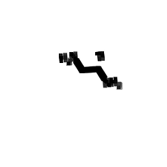 NCCN.[Ti]